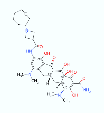 CN(C)c1cc(NC(=O)C2CN(C3CCCCCC3)C2)c(O)c2c1C[C@H]1C[C@H]3[C@H](N(C)C)C(O)=C(C(N)=O)C(=O)[C@@]3(O)C(O)=C1C2=O